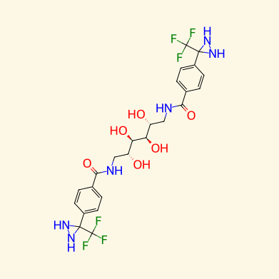 O=C(NC[C@@H](O)[C@@H](O)[C@H](O)[C@H](O)CNC(=O)c1ccc(C2(C(F)(F)F)NN2)cc1)c1ccc(C2(C(F)(F)F)NN2)cc1